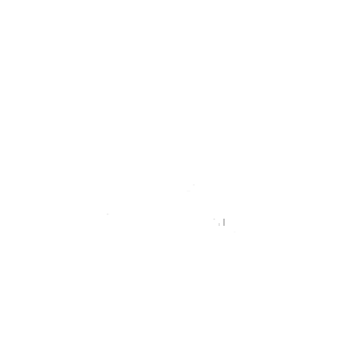 CCCC(ON)=C(C)C